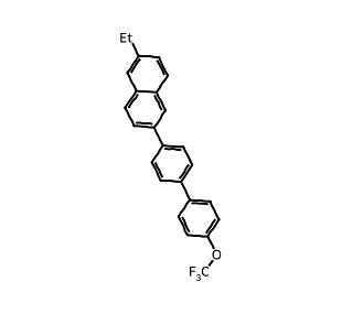 CCc1ccc2cc(-c3ccc(-c4ccc(OC(F)(F)F)cc4)cc3)ccc2c1